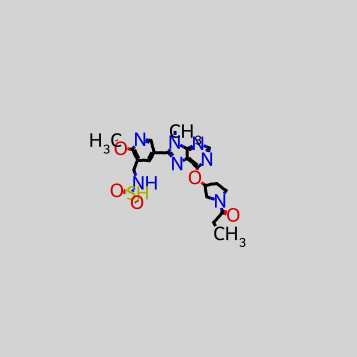 CCC(=O)N1CCC(Oc2ncnc3c2nc(-c2cnc(OC)c(CN[SH](=O)=O)c2)n3C)C1